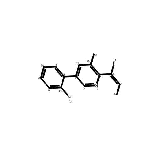 C/C=C(/F)c1ncc(-c2ccccc2F)cc1C